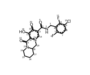 O=C(NCc1c(F)ccc(Cl)c1F)c1cn2c(c(O)c1=O)C(=O)N1CCCCC1C2